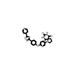 O=C1NC(=O)C2(CCCN2c2ccc(Oc3ccc(-c4noc(-c5ccncc5)n4)cc3)nc2)C(=O)N1